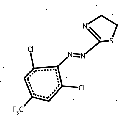 FC(F)(F)c1cc(Cl)c(/N=N/C2=NCCS2)c(Cl)c1